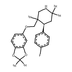 [2H]C1([2H])C[C@@H](c2ccc(F)cc2)C([2H])(COc2ccc3c(c2)OC([2H])([2H])O3)CN1